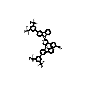 N#Cc1ccc(-c2cc(-n3c4ccccc4c4cc(-c5cc(C(F)(F)F)cc(C(F)(F)F)c5)ccc43)ncc2-n2c3ccccc3c3cc(-c4cc(C(F)(F)F)cc(C(F)(F)F)c4)ccc32)cc1